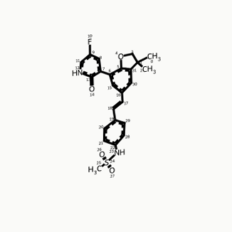 CC1(C)COc2c(-c3cc(F)c[nH]c3=O)cc(C=Cc3ccc(NS(C)(=O)=O)cc3)cc21